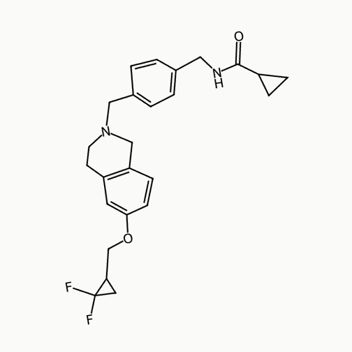 O=C(NCc1ccc(CN2CCc3cc(OCC4CC4(F)F)ccc3C2)cc1)C1CC1